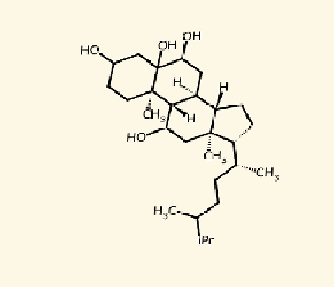 CC(C)C(C)CC[C@@H](C)[C@H]1CC[C@H]2[C@@H]3CC(O)C4(O)CC(O)CC[C@]4(C)[C@H]3C(O)C[C@]12C